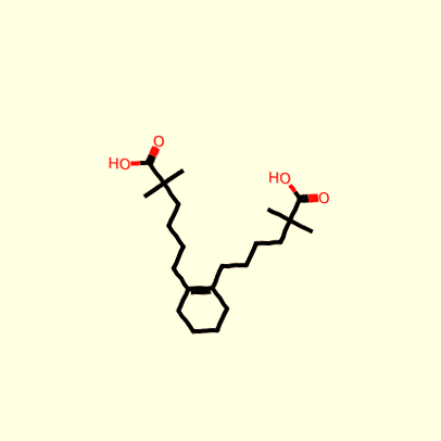 CC(C)(CCCCC1=C(CCCCC(C)(C)C(=O)O)CCCC1)C(=O)O